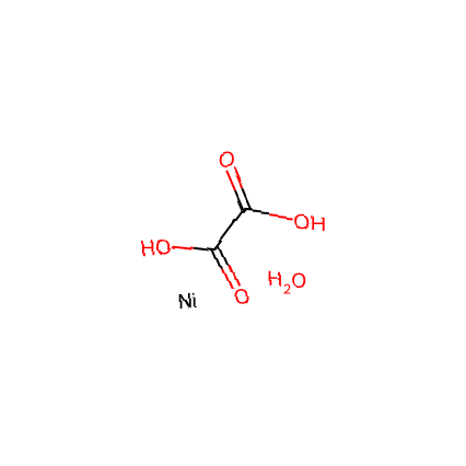 O.O=C(O)C(=O)O.[Ni]